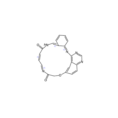 O=C1COc2ccc3ncnc(c3c2)/N=c2\cccc\c2=C/NC(=O)/C=C\C=N\1